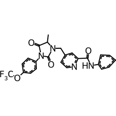 CC1C(=O)N(c2ccc(OC(F)(F)F)cc2)C(=O)N1Cc1ccnc(C(=O)Nc2ccccc2)c1